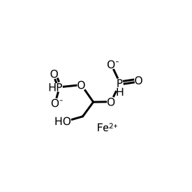 O=[PH]([O-])OC(CO)O[PH](=O)[O-].[Fe+2]